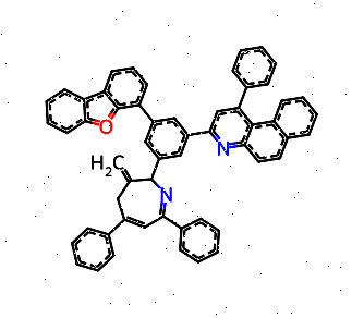 C=C1CC(c2ccccc2)=CC(c2ccccc2)=NC1c1cc(-c2cc(-c3ccccc3)c3c(ccc4ccccc43)n2)cc(-c2cccc3c2oc2ccccc23)c1